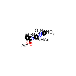 COc1cc(/N=N/c2ccc([N+](=O)[O-])cc2[N+](=O)[O-])c(NC(C)=O)cc1N(CCC(=O)OCC(C)=O)Cc1ccccc1